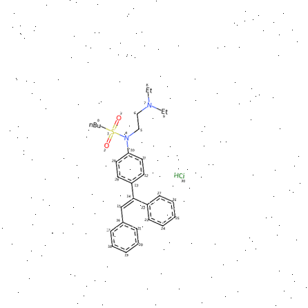 CCCCS(=O)(=O)N(CCN(CC)CC)c1ccc(C(=Cc2ccccc2)c2ccccc2)cc1.Cl